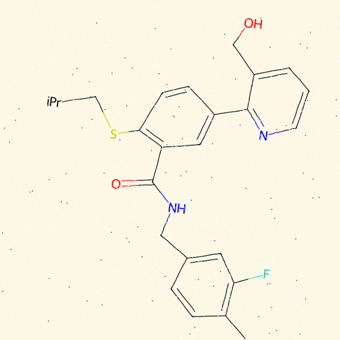 Cc1ccc(CNC(=O)c2cc(-c3ncccc3CO)ccc2SCC(C)C)cc1F